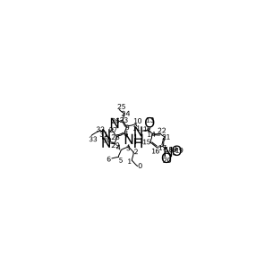 CCCC(CCC)Nc1c(CNC(=O)c2ccc([N+](=O)[O-])cc2)c(CC)nc2c1cnn2CC